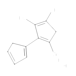 CC1=C(C)C(C2=CC=CC2)=[C]([Zr+2])C1.[H-].[H-]